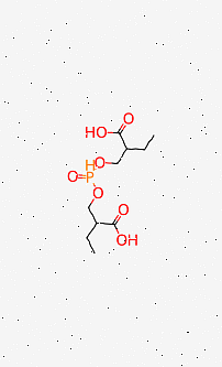 CCC(CO[PH](=O)OCC(CC)C(=O)O)C(=O)O